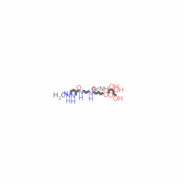 C=NNC1CCC(C(=O)NCCCNC(=O)CCCCOC2OC(CO)C(O)C(O)C2NC(C)=O)CN1